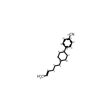 CC=CCCCC1CCC(c2ccc(C#N)cc2)CC1